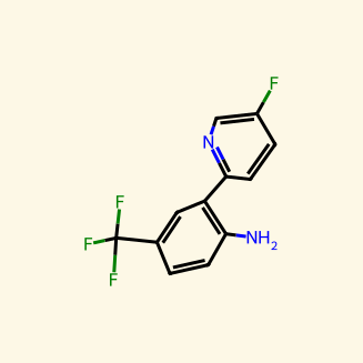 Nc1ccc(C(F)(F)F)cc1-c1ccc(F)cn1